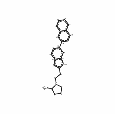 C[C@@H]1CCCN1CCc1nc2ccc(-c3cnc4ccccc4c3)cc2s1